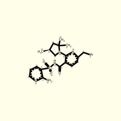 CC(C)Cc1ccc(C(=O)NS(=O)(=O)c2cccnc2N)c(N2C[C@@H](C)CC2(C)C)n1